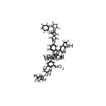 CC(C)c1ccccc1[C@@H]1CCCN1C1CC2(C1)CN(c1ccc(C(=O)NS(=O)(=O)c3cc4c(c([N+](=O)[O-])c3)N[C@H](CN3C[C@H]5C[C@@H]3CO5)CO4)c(N3c4cc5cc[nH]c5nc4O[C@@H]4COC[C@H]43)c1)C2